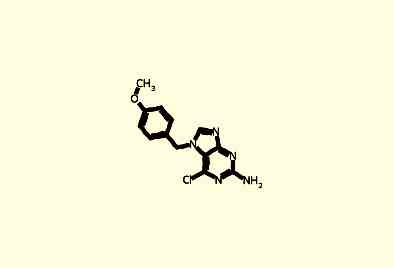 COc1ccc(Cn2cnc3nc(N)nc(Cl)c32)cc1